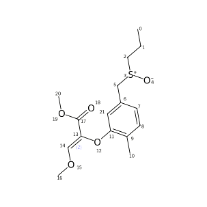 CCC[S+]([O-])Cc1ccc(C)c(O/C(=C\OC)C(=O)OC)c1